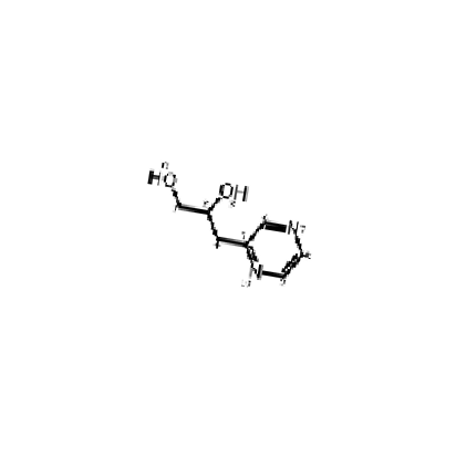 OCC(O)Cc1cnccn1